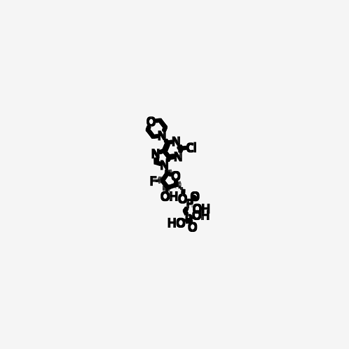 O=P(O)(O)CP(=O)(O)OC[C@H]1O[C@@H](n2cnc3c(N4CCOCC4)nc(Cl)nc32)[C@@H](F)[C@@H]1O